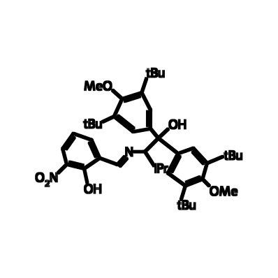 COc1c(C(C)(C)C)cc(C(O)(c2cc(C(C)(C)C)c(OC)c(C(C)(C)C)c2)C(N=Cc2cccc([N+](=O)[O-])c2O)C(C)C)cc1C(C)(C)C